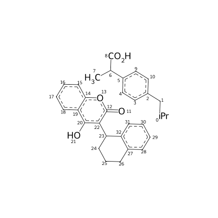 CC(C)Cc1ccc(C(C)C(=O)O)cc1.O=c1oc2ccccc2c(O)c1C1CCCc2ccccc21